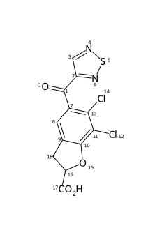 O=C(c1cnsn1)c1cc2c(c(Cl)c1Cl)OC(C(=O)O)C2